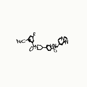 N#Cc1cc(F)cc(C(=O)N2CCC(c3ccc(C(=O)NCc4ccn5ccnc5c4)cc3)CC2)c1